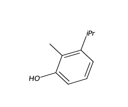 [CH2]C(C)c1cccc(O)c1C